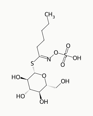 CCCCCC(=NOS(=O)(=O)O)S[C@@H]1O[C@H](CO)[C@@H](O)[C@H](O)[C@H]1O